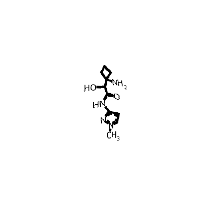 Cn1ccc(NC(=O)C(O)C2(N)CCC2)n1